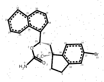 NC(=O)O[C@@H](C[C@]1(C(F)(F)F)CCc2cc(Br)ccc21)c1cccc2ccccc12